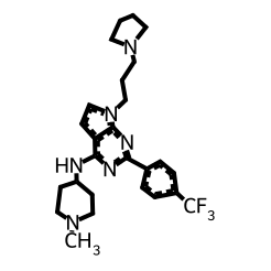 CN1CCC(Nc2nc(-c3ccc(C(F)(F)F)cc3)nc3c2ccn3CCCN2CCCC2)CC1